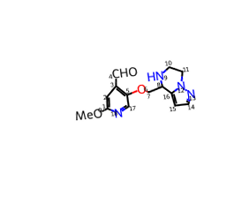 COc1cc(C=O)c(OCC2NCCn3nccc32)cn1